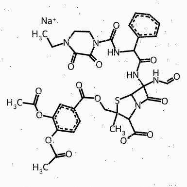 CCN1CCN(C(=O)NC(C(=O)NC2(NC=O)C(=O)N3C(C(=O)[O-])C(C)(COC(=O)c4ccc(OC(C)=O)c(OC(C)=O)c4)SC32)c2ccccc2)C(=O)C1=O.[Na+]